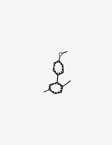 COc1ccc(-c2cc(C)ccc2C)cc1